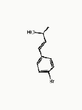 C[C@H](O)/C=C/c1ccc(Br)cc1